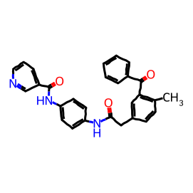 Cc1ccc(CC(=O)Nc2ccc(NC(=O)c3cccnc3)cc2)cc1C(=O)c1ccccc1